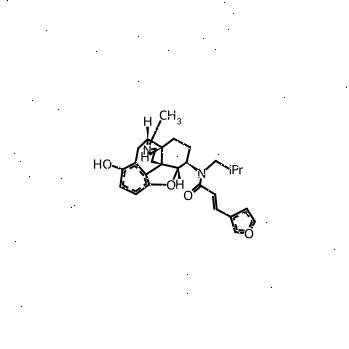 CC(C)CN(C(=O)/C=C/c1ccoc1)[C@@H]1CC[C@H]2[C@H]3Cc4c(O)ccc5c4[C@@]2(CCN3C)[C@H]1O5